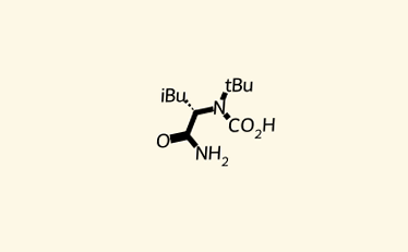 CCC(C)[C@@H](C(N)=O)N(C(=O)O)C(C)(C)C